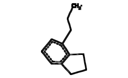 [CH2]CCc1cccc2c1CCC2